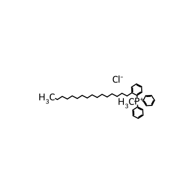 CCCCCCCCCCCCCCCCc1ccccc1[P+](C)(c1ccccc1)c1ccccc1.[Cl-]